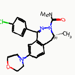 CNC(=O)N1N=C(c2ccc(Cl)cc2)c2cc(N3CCOCC3)ccc2C[C@H]1C